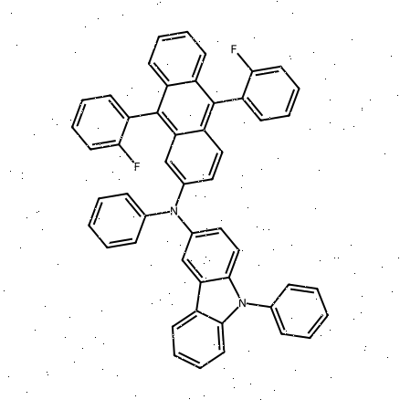 Fc1ccccc1-c1c2ccccc2c(-c2ccccc2F)c2cc(N(c3ccccc3)c3ccc4c(c3)c3ccccc3n4-c3ccccc3)ccc12